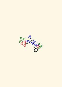 N#Cc1cnc(NCc2ccccc2OC(F)(F)F)nc1NCC(=O)OC(=O)C(F)(F)F